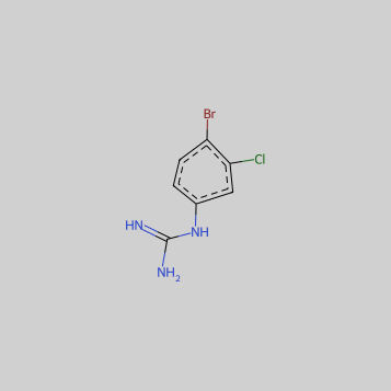 N=C(N)Nc1ccc(Br)c(Cl)c1